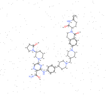 C=C1CCC(N2CCc3cc(N4CCC(CN5CCC(c6ccc(Nc7nc(N8CCC[C@H](N9CCCC9=O)C8)cnc7C(N)=O)cc6)CC5)CC4)ccc3C2=O)C(=O)N1